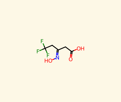 O=C(O)CC(CC(F)(F)F)=NO